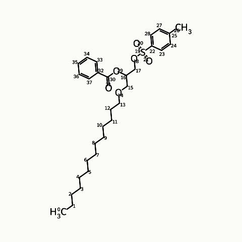 CCCCCCCCCCCCCCOCC(COS(=O)(=O)c1ccc(C)cc1)OC(=O)c1ccccc1